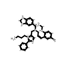 CCCCn1c(CN(C/C=C\c2cc(Br)ccc2OCC)Cc2ccc3c(c2)OCO3)cnc1-c1ccccc1